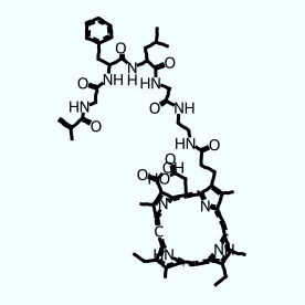 C=C(C)C(=O)NCC(=O)NC(Cc1ccccc1)C(=O)NC(CC(C)C)C(=O)NCC(=O)NCCNC(=O)CCC1=C(C)c2cc3[nH]c(cc4[nH]c(cc5nc(c(CC(=O)O)c1n2)C(C(=O)O)=C5C)c(CC)c4C)c(CC)c3C